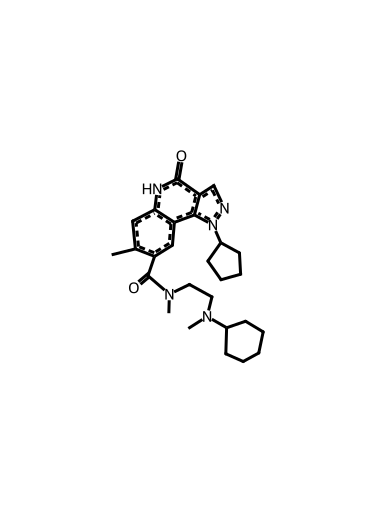 Cc1cc2[nH]c(=O)c3cnn(C4CCCC4)c3c2cc1C(=O)N(C)CCN(C)C1CCCCC1